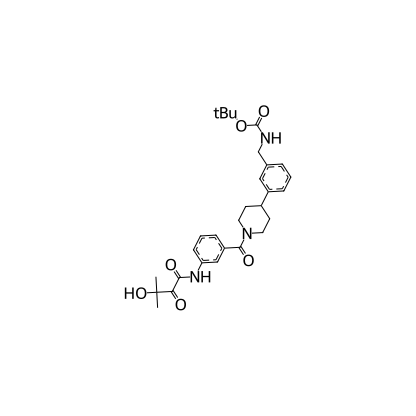 CC(C)(C)OC(=O)NCc1cccc(C2CCN(C(=O)c3cccc(NC(=O)C(=O)C(C)(C)O)c3)CC2)c1